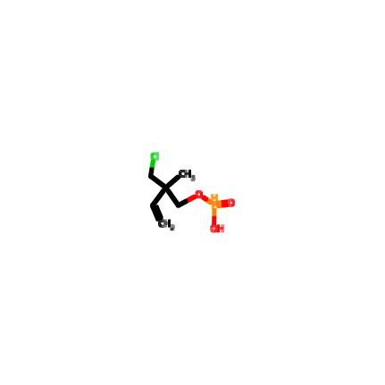 C=CC(C)(CCl)CO[PH](=O)O